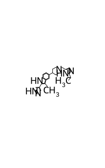 CCc1ncc(CN2CCC(c3ccc4[nH]c(-c5cn[nH]c5)c(CC)c4c3)CC2)[nH]1